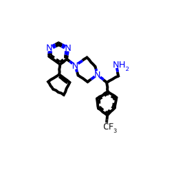 NCC(c1ccc(C(F)(F)F)cc1)N1CCN(c2ncncc2C2=CCCC2)CC1